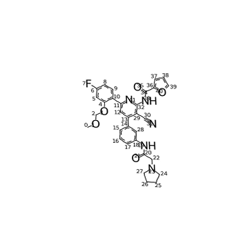 COCOc1cc(F)ccc1-c1cc(-c2cccc(NC(=O)CN3CCCC3)c2)c(C#N)c(NC(=O)c2ccco2)n1